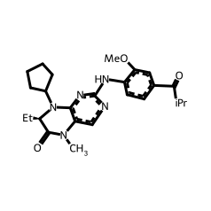 CC[C@@H]1C(=O)N(C)c2cnc(Nc3ccc(C(=O)C(C)C)cc3OC)nc2N1C1CCCC1